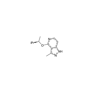 Cc1n[nH]c2ccnc(O[C@H](C)C(C)C)c12